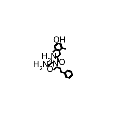 Cc1cc(O)cc(C)c1CC(N)C(=O)N(C(C)CCc1ccccc1)[C@H](C)C(N)=O